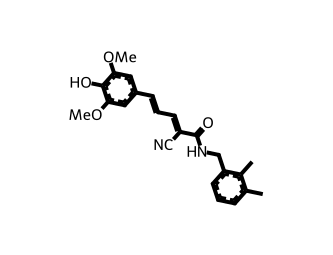 COc1cc(/C=C/C=C(\C#N)C(=O)NCc2cccc(C)c2C)cc(OC)c1O